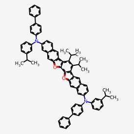 CC(C)c1cccc(N(c2ccc(-c3ccccc3)cc2)c2ccc3cc4c(cc3c2)oc2c3oc5cc6cc(N(c7ccc(-c8ccccc8)cc7)c7cccc(C(C)C)c7)ccc6cc5c3c(C(C)C)c(C(C)C)c42)c1